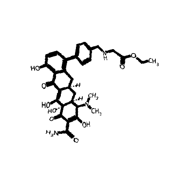 CCOC(=O)CNCc1ccc(-c2ccc(O)c3c2C[C@H]2C[C@H]4C(N(C)C)C(O)=C(C(N)=O)C(=O)[C@@]4(O)C(O)=C2C3=O)cc1